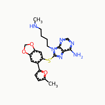 CNCCCCn1c(Sc2cc3c(cc2-c2ccc(C)o2)OCO3)nc2c(N)ncnc21